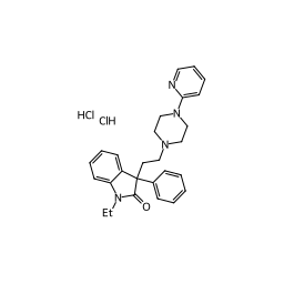 CCN1C(=O)C(CCN2CCN(c3ccccn3)CC2)(c2ccccc2)c2ccccc21.Cl.Cl